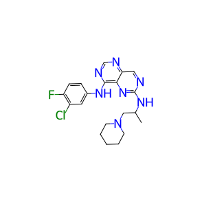 CC(CN1CCCCC1)Nc1ncc2ncnc(Nc3ccc(F)c(Cl)c3)c2n1